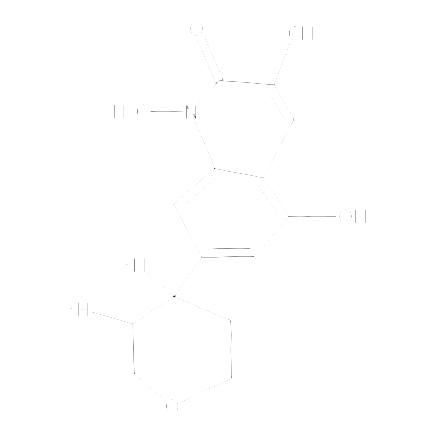 [2H]C1COCCC1([2H])c1cc(O)c2cc(C)c(=O)n(C)c2c1